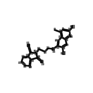 Cc1cc(Cl)nc2cc(Cl)c(OCCCN3C(=O)c4ccccc4C3=O)cc12